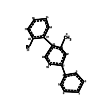 Cc1cc(-c2ccccc2)ncc1-c1ccccc1Br